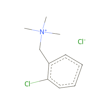 C[N+](C)(C)Cc1ccccc1Cl.[Cl-]